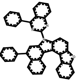 c1ccc(-c2nc(-n3c4cc(-c5ccccc5)c5ccccc5c4c4c5c(ccc43)oc3ccccc35)nc3ccccc23)cc1